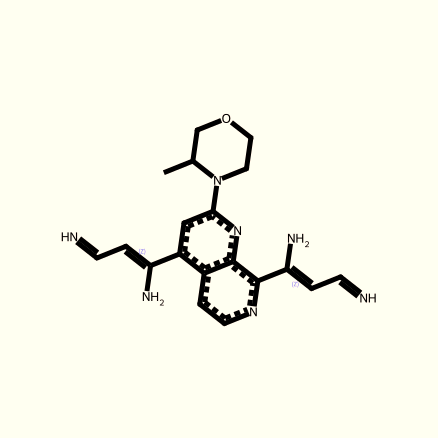 CC1COCCN1c1cc(/C(N)=C/C=N)c2ccnc(/C(N)=C/C=N)c2n1